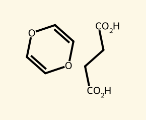 C1=COC=CO1.O=C(O)CCC(=O)O